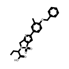 CCC(C(=O)O)N1Cc2sc(-c3ccc(OCc4ccccc4)c(C)c3)cc2S1(=O)=O